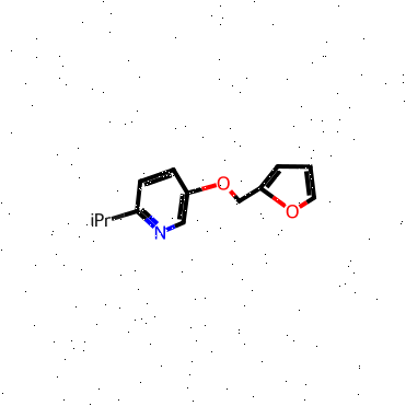 CC(C)c1ccc(OCc2ccco2)cn1